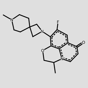 CC1COc2c(N3CC4(CCN(C)CC4)C3)c(F)cc3c(=O)ccn1c23